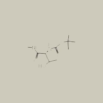 CNC(=O)[C@@H](NC(=O)OC(C)(C)C)C(C)O